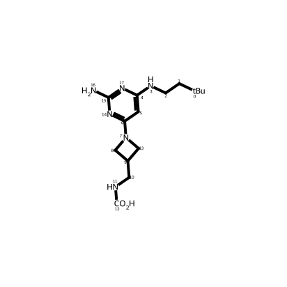 CC(C)(C)CCNc1cc(N2CC(CNC(=O)O)C2)nc(N)n1